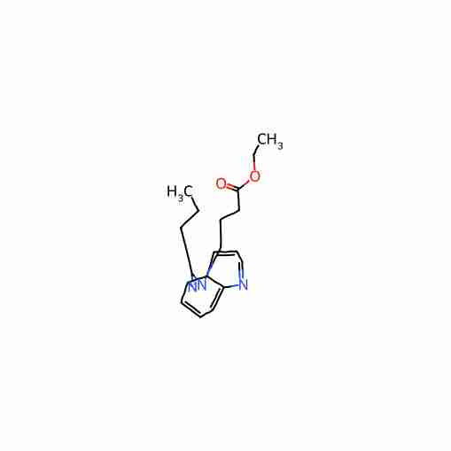 CCCC1N=C2C=CC=C3N=CC=CC32N1CCCC(=O)OCC